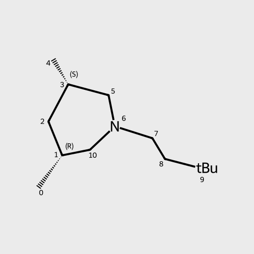 C[C@@H]1C[C@H](C)CN(CCC(C)(C)C)C1